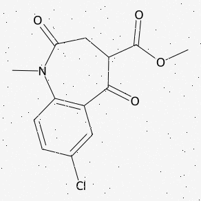 COC(=O)C1CC(=O)N(C)c2ccc(Cl)cc2C1=O